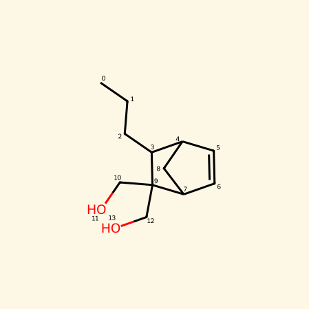 CCCC1C2C=CC(C2)C1(CO)CO